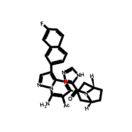 CC(=O)c1c([C@H]2C[C@H]3CC[C@@H](C2)N3C(=O)c2nnc[nH]2)nc2c(-c3ccc4ccc(F)cc4c3)cnn2c1N